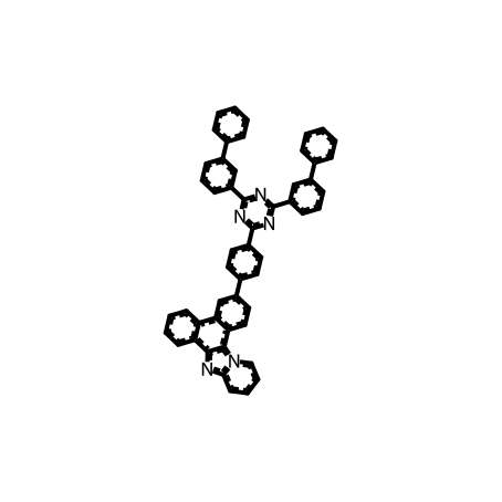 c1ccc(-c2cccc(-c3nc(-c4ccc(-c5ccc6c(c5)c5ccccc5c5nc7ccccn7c65)cc4)nc(-c4cccc(-c5ccccc5)c4)n3)c2)cc1